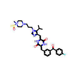 CC(C)c1c(/C=c2\[nH]c(=O)/c(=C/c3cccc(C(=O)c4ccc(F)cc4)c3)[nH]c2=O)ncn1CCCN1CC[N+](C)([SH]=O)CC1